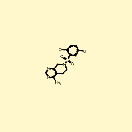 Nc1ncnc2c1CCN(S(=O)(=O)c1cc(Cl)ccc1Cl)C2